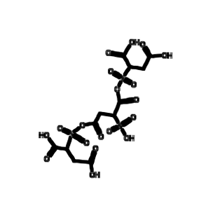 O=C(O)CC(C(=O)O)S(=O)(=O)OC(=O)CC(C(=O)OS(=O)(=O)C(CC(=O)O)C(=O)O)S(=O)(=O)O